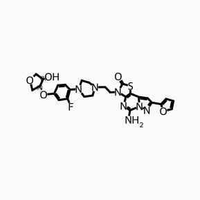 Nc1nc2c(sc(=O)n2CCN2CCN(c3ccc(O[C@@H]4COC[C@H]4O)cc3F)CC2)c2cc(-c3ccco3)nn12